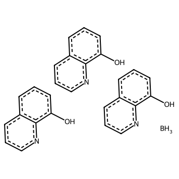 B.Oc1cccc2cccnc12.Oc1cccc2cccnc12.Oc1cccc2cccnc12